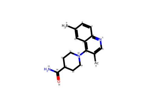 Bc1ccc2ncc(C(C)=O)c(N3CCC(C(N)=O)CC3)c2c1